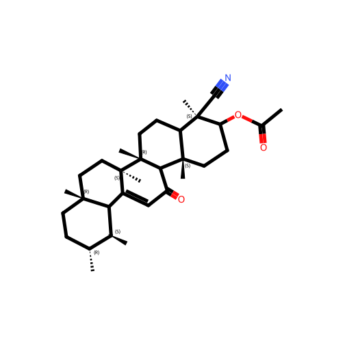 CC(=O)OC1CC[C@@]2(C)C(CC[C@]3(C)C2C(=O)C=C2C4[C@@H](C)[C@H](C)CC[C@]4(C)CC[C@]23C)[C@@]1(C)C#N